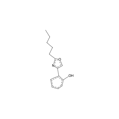 CCCCCc1nc(-c2ccccc2O)co1